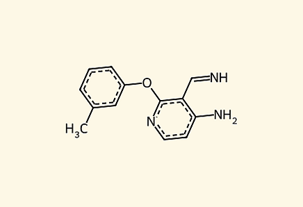 Cc1cccc(Oc2nccc(N)c2C=N)c1